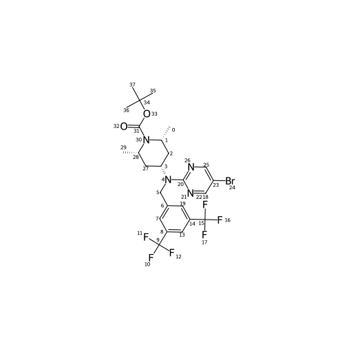 C[C@@H]1C[C@H](N(Cc2cc(C(F)(F)F)cc(C(F)(F)F)c2)c2ncc(Br)cn2)C[C@H](C)N1C(=O)OC(C)(C)C